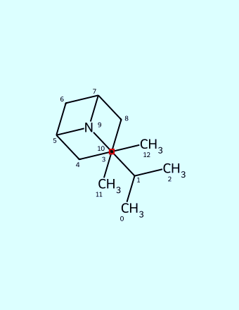 CC(C)C1CC2CC(C1)N2C(C)C